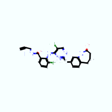 C#CCNC(=O)c1cccc(F)c1Nc1nc([AsH]c2ccc3c(c2)NC(=O)CCC3)ncc1Cl